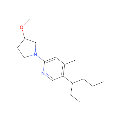 CCCC(CC)c1cnc(N2CCC(OC)C2)cc1C